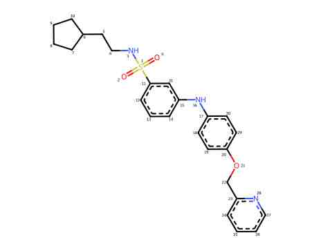 O=S(=O)(NCCC1CCCC1)c1cccc(Nc2ccc(OCc3ccccn3)cc2)c1